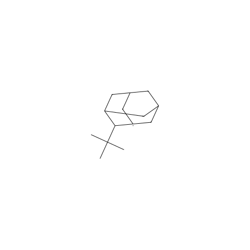 CC(C)(C)C1[C]2CC3CC(C2)CC1C3